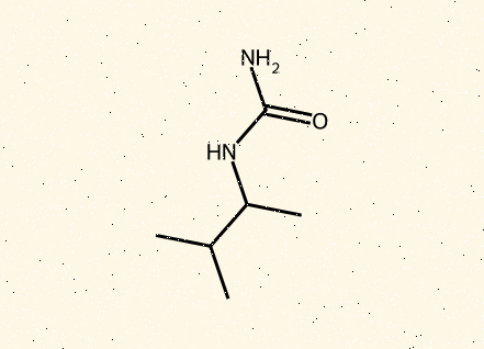 CC(C)C(C)NC(N)=O